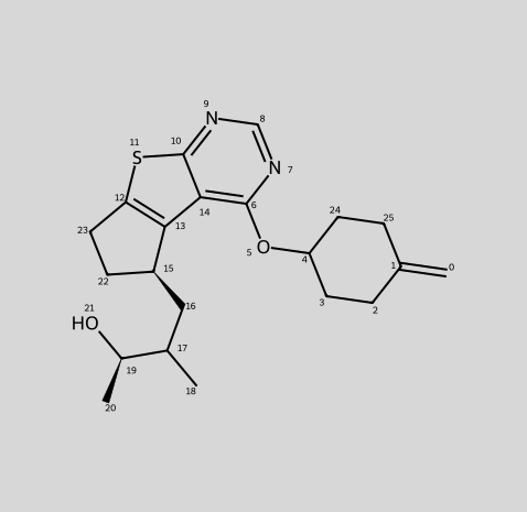 C=C1CCC(Oc2ncnc3sc4c(c23)[C@@H](CC(C)[C@@H](C)O)CC4)CC1